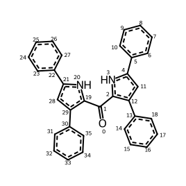 O=C(c1[nH]c(-c2ccccc2)cc1-c1ccccc1)c1[nH]c(-c2ccccc2)cc1-c1ccccc1